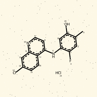 Cc1cc(F)c(Nc2ccnc3cc(Cl)ccc23)cc1O.Cl